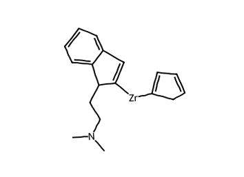 CN(C)CCC1[C]([Zr][C]2=CC=CC2)=Cc2ccccc21